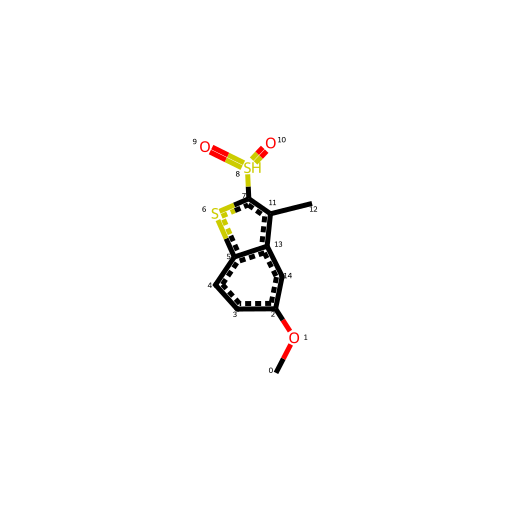 COc1ccc2sc([SH](=O)=O)c(C)c2c1